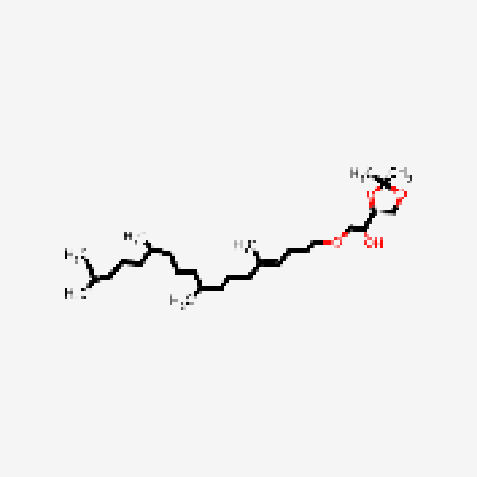 C/C(=C\CCCOC[C@@H](O)[C@@H]1COC(C)(C)O1)CCCC(C)CCCC(C)CCCC(C)C